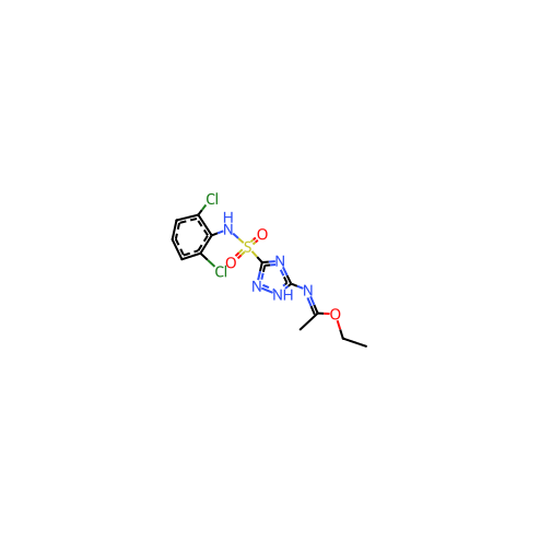 CCO/C(C)=N/c1nc(S(=O)(=O)Nc2c(Cl)cccc2Cl)n[nH]1